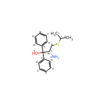 CC(C)SC[C@H](N)C(O)(c1ccccc1)c1ccccc1